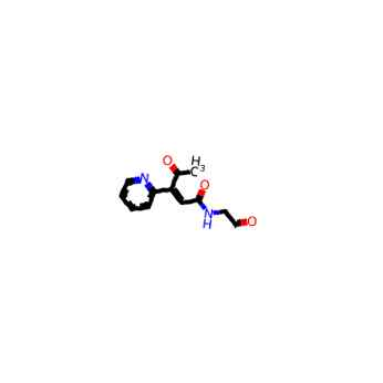 CC(=O)C(=CC(=O)NC[C]=O)c1ccccn1